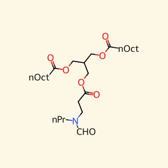 CCCCCCCCC(=O)OCC(COC(=O)CCCCCCCC)COC(=O)CCN(C=O)CCC